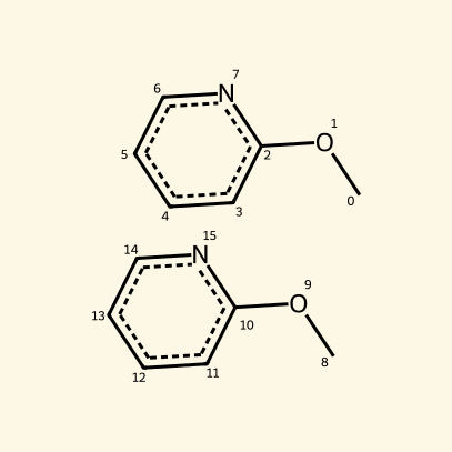 COc1ccccn1.COc1ccccn1